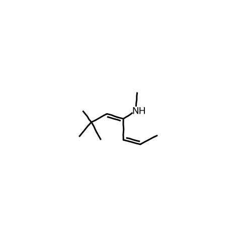 C/C=C\C(=C/C(C)(C)C)NC